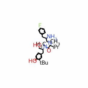 CC(C)C(C(=O)N(C)C(CO)Cc1ccc(O)c(C(C)(C)C)c1)N(C)CC(N)Cc1ccc(F)cc1